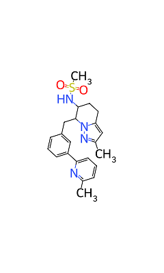 Cc1cccc(-c2cccc(CC3C(NS(C)(=O)=O)CCc4cc(C)nn43)c2)n1